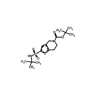 CC(C)(C)NS(=O)(=O)c1cc2c(s1)CCN(C(=O)OC(C)(C)C)C2